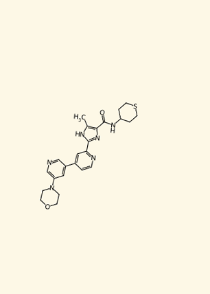 Cc1[nH]c(-c2cc(-c3cncc(N4CCOCC4)c3)ccn2)nc1C(=O)NC1CCSCC1